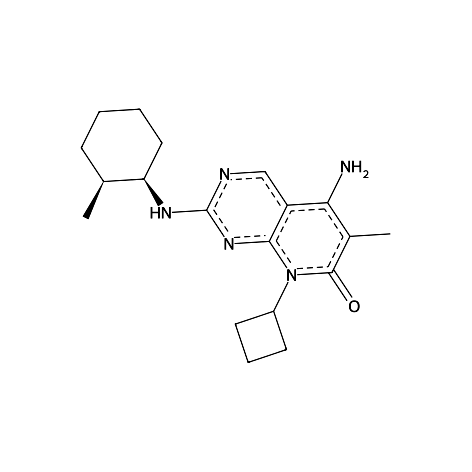 Cc1c(N)c2cnc(N[C@@H]3CCCC[C@@H]3C)nc2n(C2CCC2)c1=O